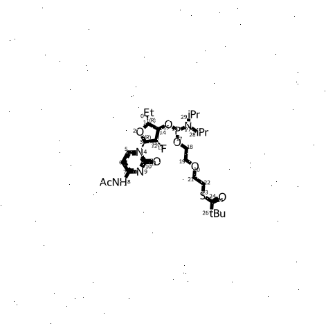 CC[C@H]1O[C@@H](n2ccc(NC(C)=O)nc2=O)[C@@H](F)C1OP(OCCOCCSC(=O)C(C)(C)C)N(C(C)C)C(C)C